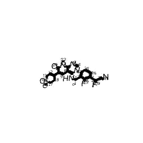 C[C@H](Nc1ncnc2c1cc(C1=CCS(=O)(=O)CC1)c(=O)n2C)c1cccc(C(F)C#N)c1F